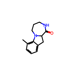 Cc1cccc2c1N1CCCNC(=O)C1C2